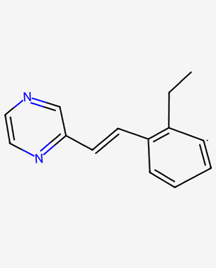 CCc1[c]cccc1C=Cc1cnccn1